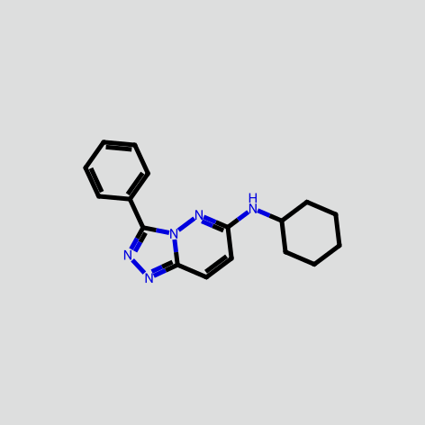 c1ccc(-c2nnc3ccc(NC4CCCCC4)nn23)cc1